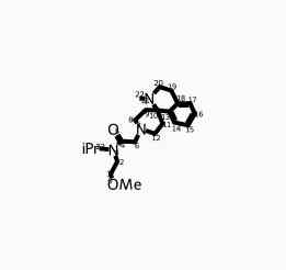 COCCN(C(=O)CN1CCC2(CC1)c1ccccc1CCN2C)C(C)C